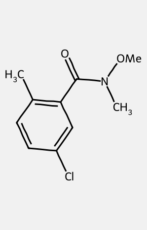 CON(C)C(=O)c1cc(Cl)ccc1C